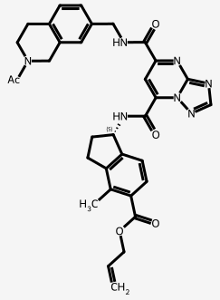 C=CCOC(=O)c1ccc2c(c1C)CC[C@@H]2NC(=O)c1cc(C(=O)NCc2ccc3c(c2)CN(C(C)=O)CC3)nc2ncnn12